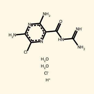 N=C(N)NC(=O)c1nc(Cl)c(N)nc1N.O.O.[Cl-].[H+]